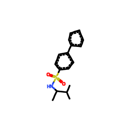 CC(C)C(C)NS(=O)(=O)c1ccc(-c2ccccc2)cc1